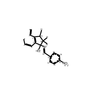 C=CC1=C(/C=C\C)C(CC)(/N=C/c2ccc([N+](=O)[O-])cc2)C(C)(C)C1C